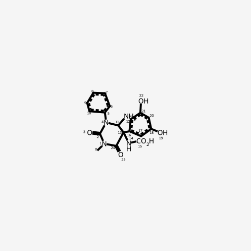 CN1C(=O)N(c2ccccc2)C(N)C(NC(=O)O)(c2cc(O)cc(O)c2)C1=O